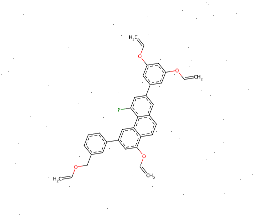 C=COCc1cccc(-c2cc(OC=C)c3ccc4cc(-c5cc(OC=C)cc(OC=C)c5)cc(F)c4c3c2)c1